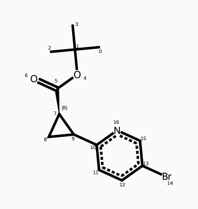 CC(C)(C)OC(=O)[C@@H]1CC1c1ccc(Br)cn1